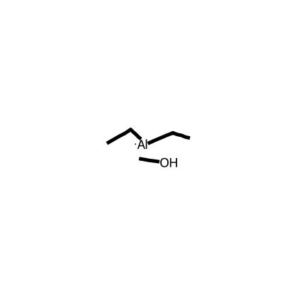 CO.C[CH2][Al][CH2]C